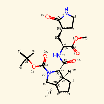 COC(=O)[C@H](C[C@@H]1CCNC1=O)NC(=O)[C@@H]1[C@H]2CCC[C@H]2CN1C(=O)OC(C)(C)C